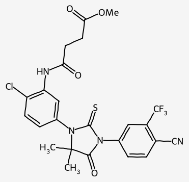 COC(=O)CCC(=O)Nc1cc(N2C(=S)N(c3ccc(C#N)c(C(F)(F)F)c3)C(=O)C2(C)C)ccc1Cl